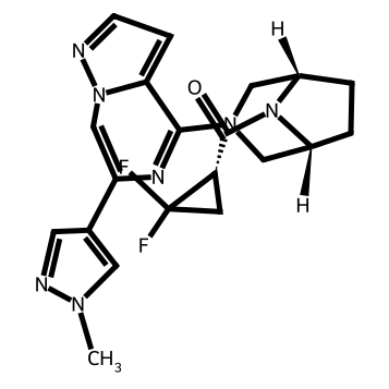 Cn1cc(-c2cn3nccc3c(N3C[C@H]4CC[C@@H](C3)N4C(=O)[C@@H]3CC3(F)F)n2)cn1